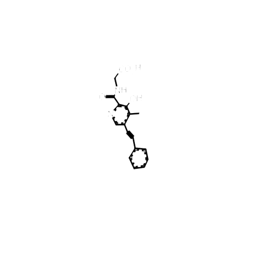 Cc1c(C#Cc2ccccc2)cnc(C(=O)NCC(=O)O)c1O